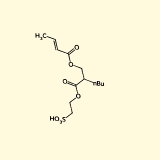 CC=CC(=O)OCC(CCCC)C(=O)OCCS(=O)(=O)O